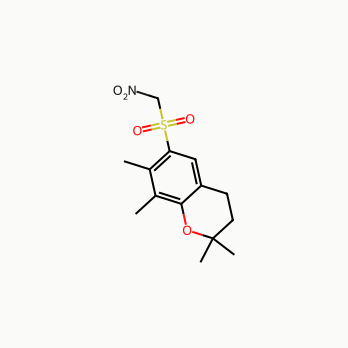 Cc1c(S(=O)(=O)C[N+](=O)[O-])cc2c(c1C)OC(C)(C)CC2